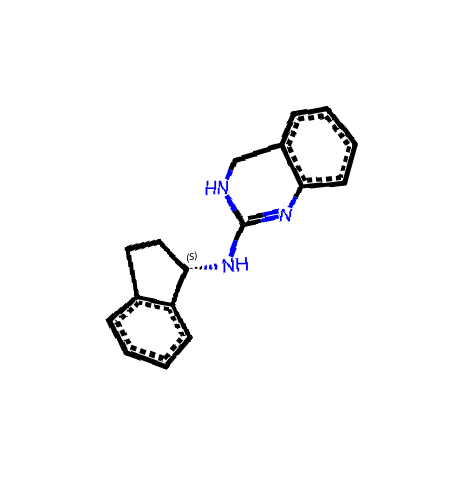 c1ccc2c(c1)CNC(N[C@H]1CCc3ccccc31)=N2